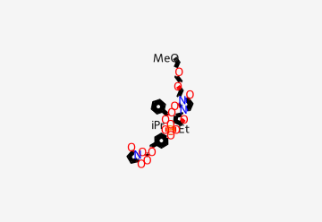 CC[C@H]1O[C@@H](n2ccc(=O)n(CCOCCOCCOC)c2=O)C(OC(=O)c2ccccc2)[C@H]1OP(=O)(Oc1ccc(COC(=O)ON2C(=O)CCC2=O)cc1)OC(C)C